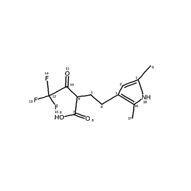 Cc1cc(CCC(C(=O)O)C(=O)C(F)(F)F)c(C)[nH]1